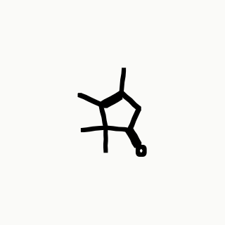 CC1=C(C)C(C)(C)C(=O)C1